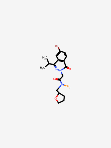 CC(C)c1nn(CC(=O)N(P)CC2CCCO2)c(=O)c2ccc(Br)cc12